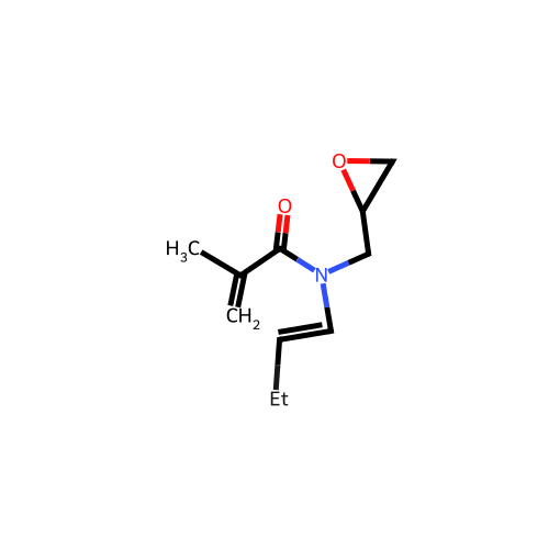 C=C(C)C(=O)N(/C=C/CC)CC1CO1